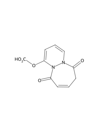 O=C(O)OC1=CC=CN2C(=O)CC=CC(=O)N12